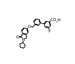 O=C(O)c1cc(F)cc(-c2cccc(COc3ccc4c(c3)CN(C3CCCC3)C4=O)c2)c1